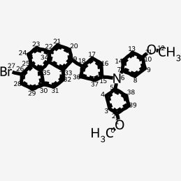 COc1ccc(N(c2ccc(OC)cc2)c2ccc(-c3ccc4ccc5c(Br)ccc6ccc3c4c65)cc2)cc1